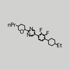 CCCC1CCC(c2ncc(-c3ccc(C4CCC(CC)CC4)c(F)c3F)cn2)OC1